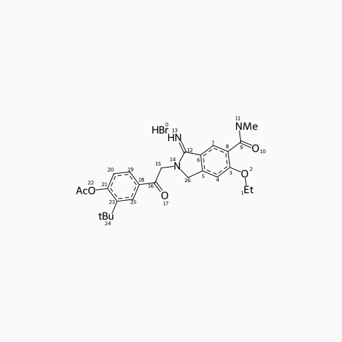 Br.CCOc1cc2c(cc1C(=O)NC)C(=N)N(CC(=O)c1ccc(OC(C)=O)c(C(C)(C)C)c1)C2